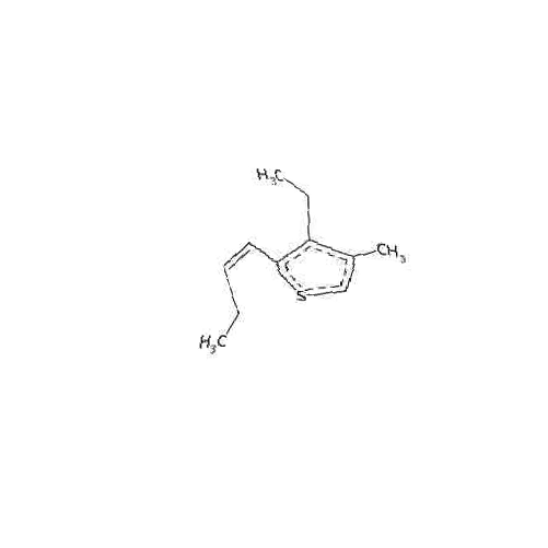 CC/C=C\c1scc(C)c1CC